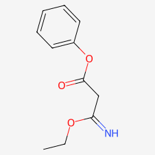 CCOC(=N)CC(=O)Oc1ccccc1